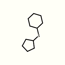 C1CCC(SC2CCCC2)CC1